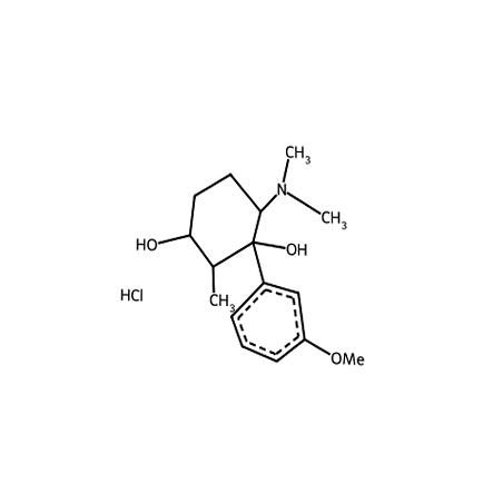 COc1cccc(C2(O)C(C)C(O)CCC2N(C)C)c1.Cl